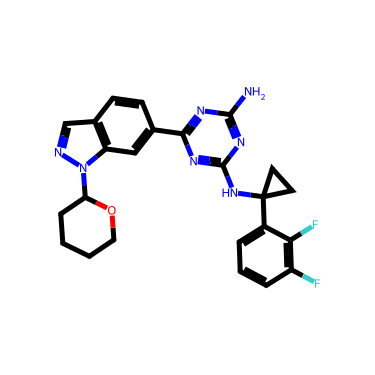 Nc1nc(NC2(c3cccc(F)c3F)CC2)nc(-c2ccc3cnn(C4CCCCO4)c3c2)n1